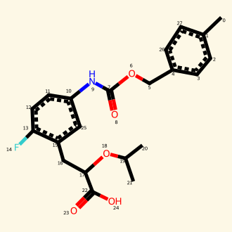 Cc1ccc(COC(=O)Nc2ccc(F)c(CC(OC(C)C)C(=O)O)c2)cc1